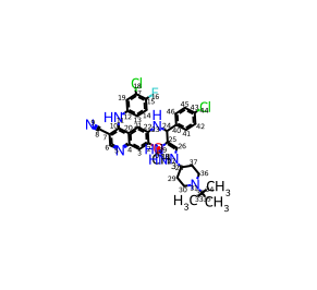 COc1cc2ncc(C#N)c(Nc3ccc(F)c(Cl)c3)c2cc1NC(C1=CN(C2CCN(C(C)(C)C)CC2)NN1)c1ccc(Cl)cc1